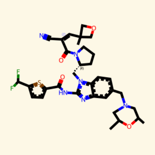 CC1CN(Cc2ccc3c(c2)nc(NC(=O)c2ccc(C(F)F)s2)n3C[C@H]2CCCN2C(=O)/C(C#N)=C\C2(C)COC2)CC(C)O1